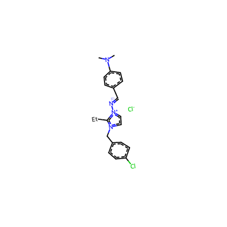 CCc1n(Cc2ccc(Cl)cc2)cc[n+]1/N=C/c1ccc(N(C)C)cc1.[Cl-]